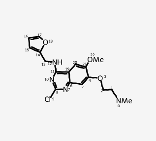 CNCCOc1cc2nc(Cl)nc(NCc3ccco3)c2cc1OC